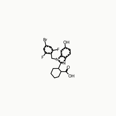 O=C(O)C1CCCCC1c1nc2ccc(O)cc2n1Cc1c(F)cc(Br)cc1F